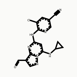 N#Cc1cnc(Nc2cc(NC3CC3)n3ncc(C=O)c3n2)c(Cl)c1